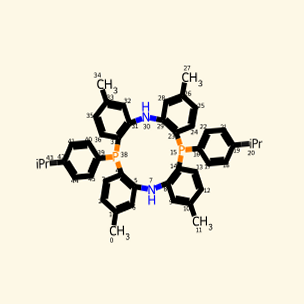 Cc1ccc2c(c1)Nc1cc(C)ccc1P(c1ccc(C(C)C)cc1)c1ccc(C)cc1Nc1cc(C)ccc1P2c1ccc(C(C)C)cc1